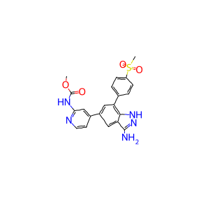 COC(=O)Nc1cc(-c2cc(-c3ccc(S(C)(=O)=O)cc3)c3[nH]nc(N)c3c2)ccn1